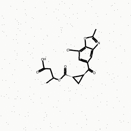 [CH2]C(CC(=O)O)OC(=O)[C@H]1C[C@@H]1C(=O)c1cc(Cl)c2oc(C)nc2c1